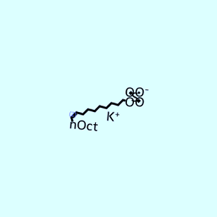 CCCCCCCC/C=C\CCCCCCCCOS(=O)(=O)[O-].[K+]